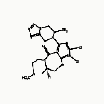 CC1Cn2cnnc2CN1c1nc(Cl)c(Cl)c2c1C(=O)N1CCN(C(=O)O)C[C@@H]1CO2